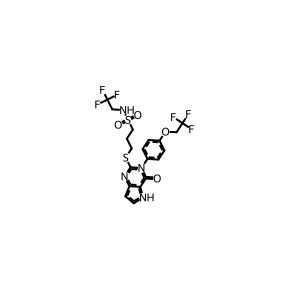 O=c1c2[nH]ccc2nc(SCCCS(=O)(=O)NCC(F)(F)F)n1-c1ccc(OCC(F)(F)F)cc1